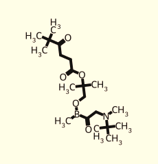 CB(OCC(C)(C)OC(=O)CCC(=O)C(C)(C)C)C(=O)CN(C)C(C)(C)C